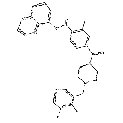 Cc1cc(C(=O)N2CCN(Cc3cccc(F)c3F)CC2)ccc1NSc1cccc2cccnc12